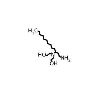 CCCCCCCCCCC(CCN)N(CCO)CCO